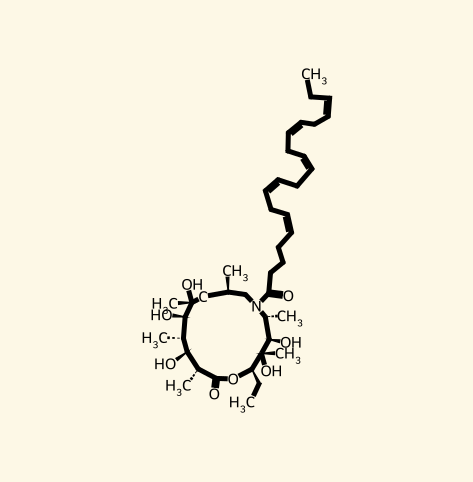 CC/C=C\C/C=C\C/C=C\C/C=C\C/C=C\CCCC(=O)N1C[C@H](C)C[C@@](C)(O)[C@H](O)[C@@H](C)[C@H](O)[C@@H](C)C(=O)O[C@H](CC)[C@@](C)(O)[C@H](O)[C@H]1C